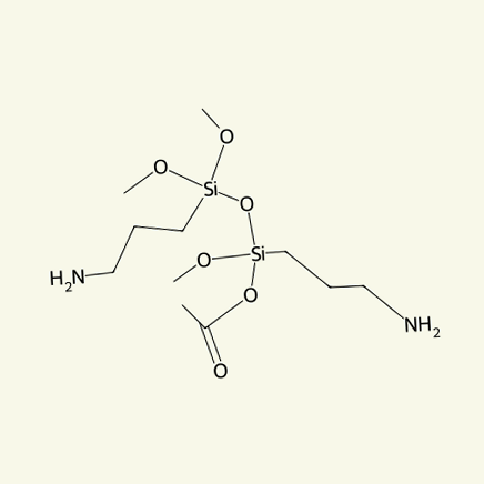 CO[Si](CCCN)(OC)O[Si](CCCN)(OC)OC(C)=O